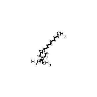 CCCCCCCCCP1CCB(N(C)C)CC1